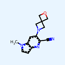 Cn1ccc2nc(C#N)c(N3CC4(COC4)C3)cc21